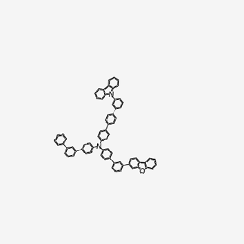 c1ccc(-c2cccc(-c3ccc(N(c4ccc(-c5ccc(-c6cccc(-n7c8ccccc8c8ccccc87)c6)cc5)cc4)c4ccc(-c5cccc(-c6ccc7c(c6)oc6ccccc67)c5)cc4)cc3)c2)cc1